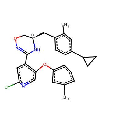 Cc1cc(C2CC2)ccc1C[C@@H]1CON=C(c2cc(Cl)ncc2Oc2cccc(C(F)(F)F)c2)N1